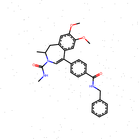 CNC(=O)N1C=C(c2ccc(C(=O)NCc3ccccc3)cc2)c2cc(OC)c(OC)cc2CC1C